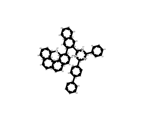 c1ccc(-c2ccc(-c3nc(-c4ccccc4)nc(-c4cc5ccccc5cc4-c4ccc5ccc6ccc7cccc8c7c6c5c4O8)n3)cc2)cc1